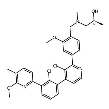 [CH2]c1ccc(-c2cccc(-c3ccnc(-c4ccc(CN(C)C[C@H](C)O)c(OC)c4)c3Cl)c2Cl)nc1OC